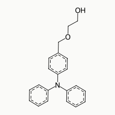 OCCOCc1ccc(N(c2ccccc2)c2ccccc2)cc1